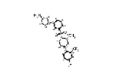 C[C@@H]1CN(c2ccc(F)cc2C(F)(F)F)CCN1S(=O)(=O)c1cccc(N2CCC(N)C2)c1